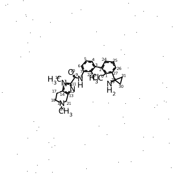 Cc1c(-c2cccc(NC(=O)c3nc4c(n3C)CCN(C)C4)c2Cl)cccc1C1(N)CC1